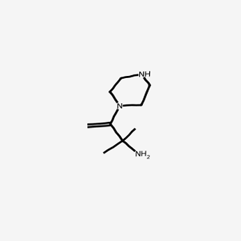 C=C(N1CCNCC1)C(C)(C)N